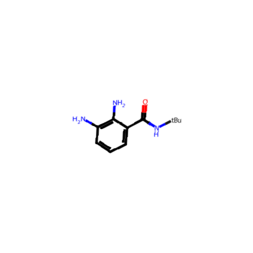 CC(C)(C)NC(=O)c1cccc(N)c1N